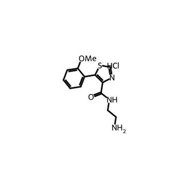 COc1ccccc1-c1scnc1C(=O)NCCN.Cl